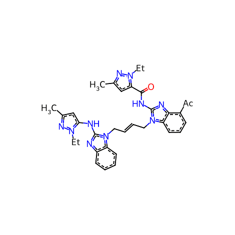 CCn1nc(C)cc1Nc1nc2ccccc2n1C/C=C/Cn1c(NC(=O)c2cc(C)nn2CC)nc2c(C(C)=O)cccc21